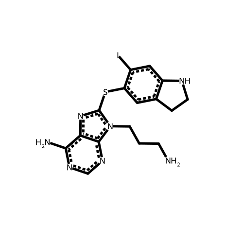 NCCCn1c(Sc2cc3c(cc2I)NCC3)nc2c(N)ncnc21